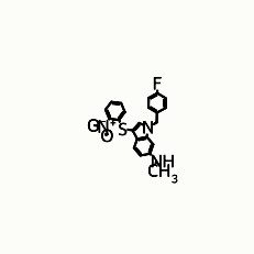 CNc1ccc2c(Sc3ccccc3[N+](=O)[O-])cn(Cc3ccc(F)cc3)c2c1